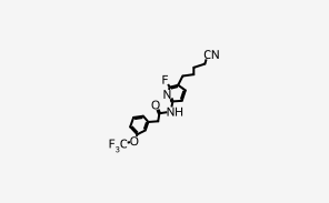 N#CCCCCc1ccc(NC(=O)Cc2cccc(OC(F)(F)F)c2)nc1F